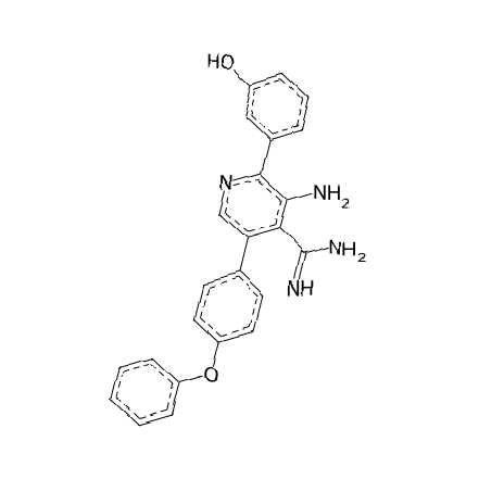 N=C(N)c1c(-c2ccc(Oc3ccccc3)cc2)cnc(-c2cccc(O)c2)c1N